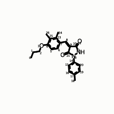 CCCOc1ccc(C=C2C(=O)NN(c3ccc(C)cc3)C2=O)c(C)c1C